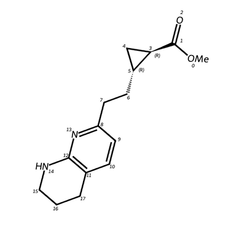 COC(=O)[C@@H]1C[C@H]1CCc1ccc2c(n1)NCCC2